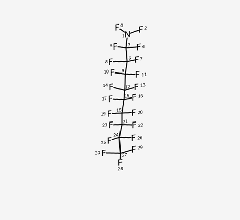 FN(F)C(F)(F)C(F)(F)C(F)(F)C(F)(F)C(F)(F)C(F)(F)C(F)(F)C(F)(F)C(F)(F)F